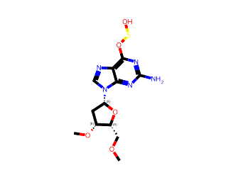 COC[C@H]1O[C@@H](n2cnc3c(OSO)nc(N)nc32)C[C@H]1OC